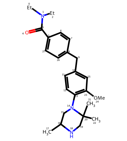 CCN(CC)C(=O)c1ccc(Cc2ccc(N3CC(C)NCC3(C)C)c(OC)c2)cc1